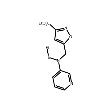 CCOC(=O)c1cc(CN(SCC)c2cccnc2)on1